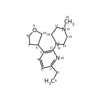 CCc1ccc(C2CCOC2)c(N2CCN(C)CC2)n1